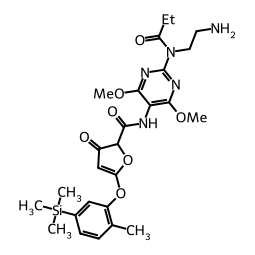 CCC(=O)N(CCN)c1nc(OC)c(NC(=O)C2OC(Oc3cc([Si](C)(C)C)ccc3C)=CC2=O)c(OC)n1